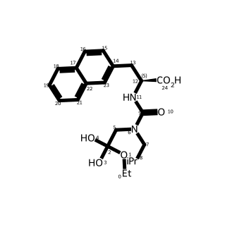 CCOC(O)(O)CN(CC(C)C)C(=O)N[C@@H](Cc1ccc2ccccc2c1)C(=O)O